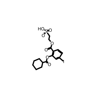 O=C(OCCS(=O)(=O)O)c1ccc(I)cc1OC(=O)C1CCCCC1